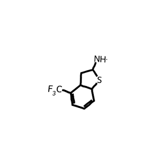 [NH]C1CC2C(C(F)(F)F)=CC=CC2S1